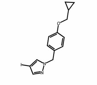 Ic1cnn(Cc2ccc(OCC3CC3)cc2)c1